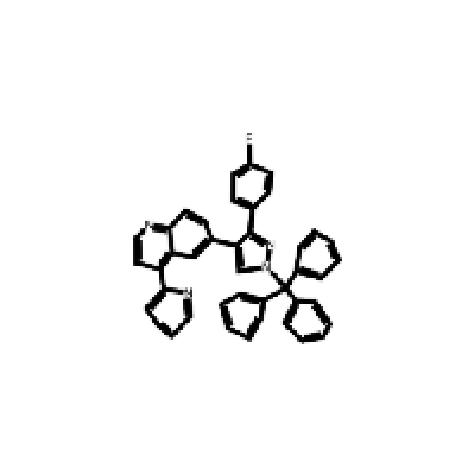 Fc1ccc(-c2nn(C(c3ccccc3)(c3ccccc3)c3ccccc3)cc2-c2ccc3nccc(-c4ccccn4)c3c2)cc1